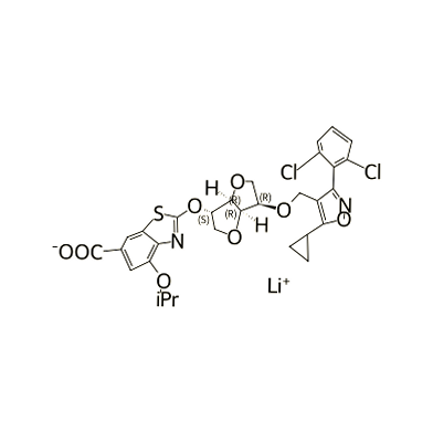 CC(C)Oc1cc(C(=O)[O-])cc2sc(O[C@H]3CO[C@H]4[C@@H]3OC[C@H]4OCc3c(-c4c(Cl)cccc4Cl)noc3C3CC3)nc12.[Li+]